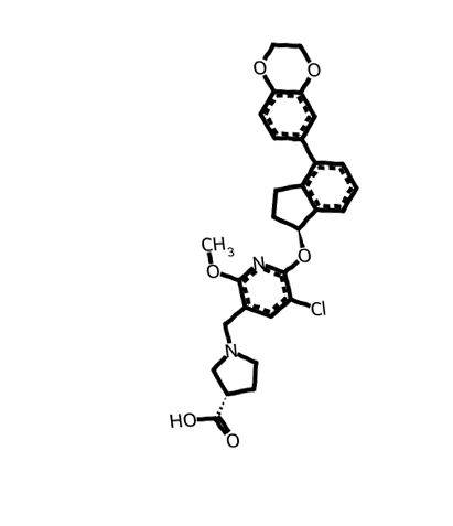 COc1nc(O[C@H]2CCc3c(-c4ccc5c(c4)OCCO5)cccc32)c(Cl)cc1CN1CC[C@H](C(=O)O)C1